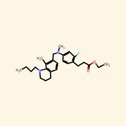 CCCCN1CCCc2ccc(CN(C)c3ccc(CCC(=O)OCC)c(F)c3)c(C)c21